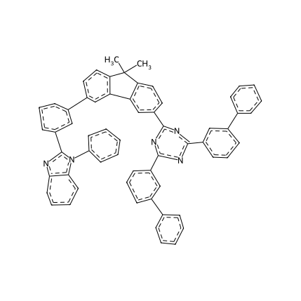 CC1(C)c2ccc(-c3cccc(-c4nc5ccccc5n4-c4ccccc4)c3)cc2-c2cc(-c3nc(-c4cccc(-c5ccccc5)c4)nc(-c4cccc(-c5ccccc5)c4)n3)ccc21